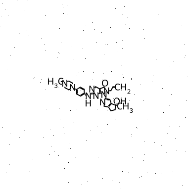 C=CCn1c(=O)c2cnc(Nc3ccc(N4CCN(C)CC4)cc3)nc2n1-c1cc2c(cn1)CC[C@@]2(C)O